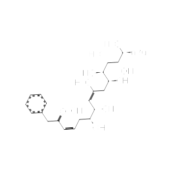 CCCC[C@H](C)[C@H](O)[C@@H](C)[C@H](O)[C@@H](C)C/C(C)=C\[C@H](C)[C@@H](O)[C@@H](C)/C=C\C(=O)Cc1ccccc1